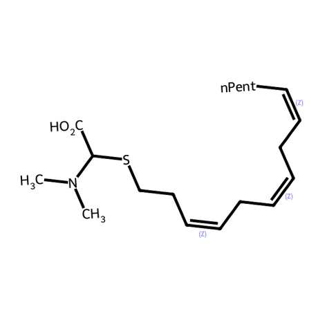 CCCCC/C=C\C/C=C\C/C=C\CCSC(C(=O)O)N(C)C